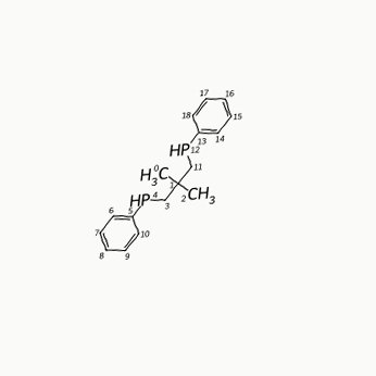 CC(C)(CPc1ccccc1)CPc1ccccc1